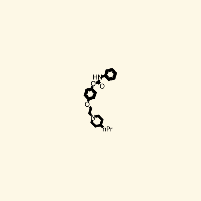 CCCC1CCN(CCOc2ccc(OC(=O)Nc3ccccc3)cc2)CC1